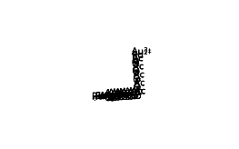 CC(=O)[O-].CC(=O)[O-].CC(=O)[O-].CC(=O)[O-].CC(=O)[O-].CC(=O)[O-].CC(=O)[O-].CC(=O)[O-].CC(=O)[O-].CC(=O)[O-].CC(=O)[O-].CC(=O)[O-].CC(=O)[O-].CC(=O)[O-].[Au+3].[Fe+2].[K+].[Mg+2].[Pd+2].[Re+4]